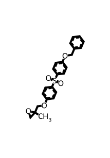 CC1(COc2ccc(S(=O)(=O)c3ccc(OCc4ccccc4)cc3)cc2)CO1